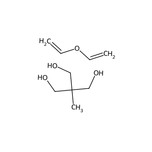 C=COC=C.CC(CO)(CO)CO